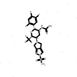 CS(=O)(=O)n1cc2c(n1)CN([C@@H]1C[C@H](NC(=O)O)[C@@H](c3cc(F)c(F)cc3F)O[C@@H]1C(F)(F)F)C2